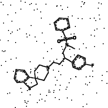 CN(CC(CCN1CCC2(CC1)CSc1ccccc12)c1ccc(F)cc1)S(=O)(=O)c1ccccc1